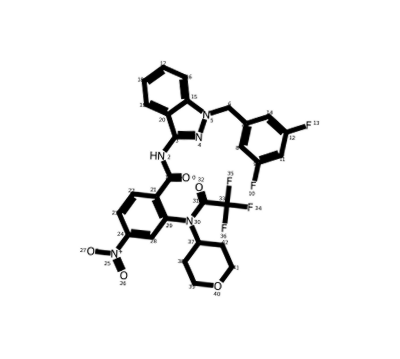 O=C(Nc1nn(Cc2cc(F)cc(F)c2)c2ccccc12)c1ccc([N+](=O)[O-])cc1N(C(=O)C(F)(F)F)C1CCOCC1